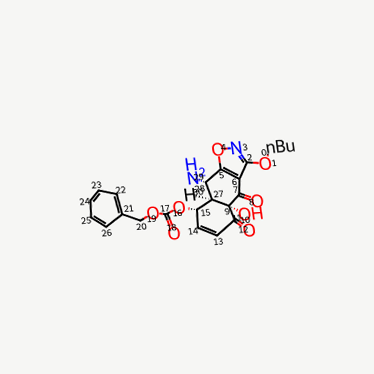 CCCCOc1noc2c1C(=O)[C@@]1(O)C(=O)C=C[C@H](OC(=O)OCc3ccccc3)[C@H]1[C@@H]2N